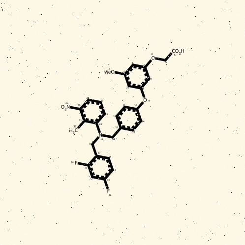 COc1cc(OCC(=O)O)cc(Oc2ccc(CN(Cc3ccc(F)cc3F)c3cccc([N+](=O)[O-])c3C)cc2)c1